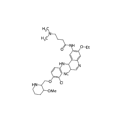 CCOc1cc2c(cc1NC(=O)CCCN(C)C)C(Nc1ccc(OCC3NCCCC3OC)c(Cl)c1)C(C#N)C=N2